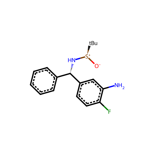 CC(C)(C)[S@@+]([O-])N[C@@H](c1ccccc1)c1ccc(F)c(N)c1